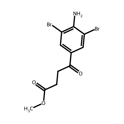 COC(=O)CCC(=O)c1cc(Br)c(N)c(Br)c1